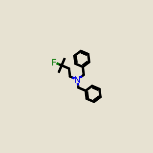 CC(C)(F)CCN(Cc1ccccc1)Cc1ccccc1